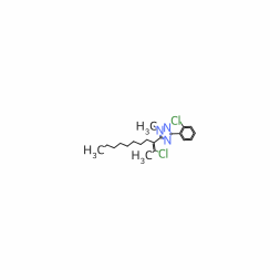 CCCCCCCCC(=C(C)Cl)c1nc(-c2ccccc2Cl)nn1C